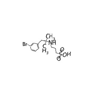 CC(C)(Cc1cccc(Br)c1)NCCCS(=O)(=O)O